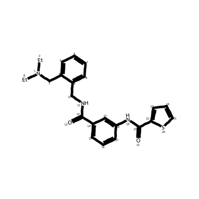 CCN(CC)Cc1ccccc1CNC(=O)c1cccc(NC(=O)c2cccs2)c1